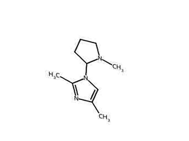 Cc1cn(C2CCCN2C)c(C)n1